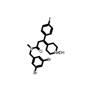 CN(Cc1cc(Br)cc(Br)c1)C(=O)CC(=C1CCNCC1)c1ccc(F)cc1.Cl